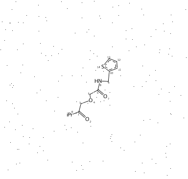 CC(C)C(=O)COCC(=O)NCc1cccs1